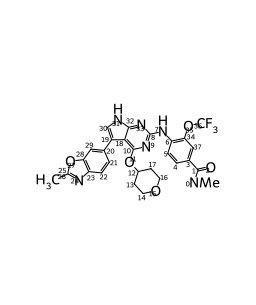 CNC(=O)c1ccc(Nc2nc(OC3CCOCC3)c3c(-c4ccc5nc(C)oc5c4)c[nH]c3n2)c(OC(F)(F)F)c1